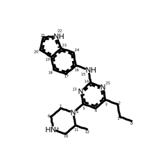 CCCc1cc(N2CCNCC2C)nc(Nc2ccc3cc[nH]c3c2)n1